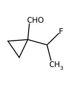 CC(F)C1(C=O)CC1